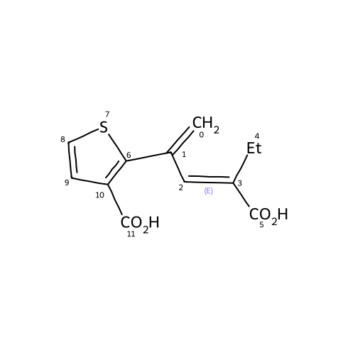 C=C(/C=C(\CC)C(=O)O)c1sccc1C(=O)O